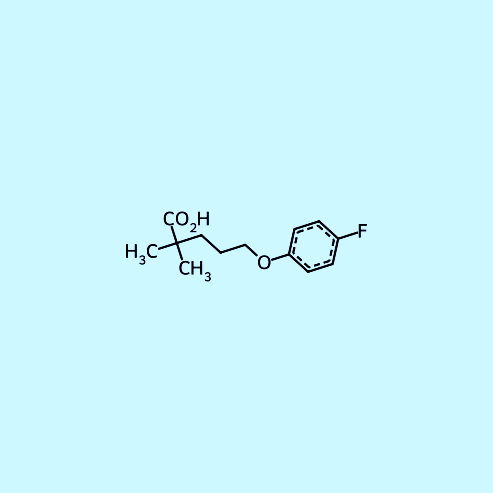 CC(C)(CCCOc1ccc(F)cc1)C(=O)O